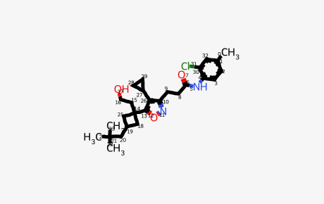 Cc1ccc(NC(=O)CCc2noc(C3(CCO)CC(CC(C)(C)C)C3)c2C2CC2)c(Cl)c1